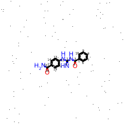 N=C(NC(=O)c1ccccc1)Nc1ccc(C(N)=O)cc1